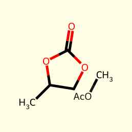 CC1COC(=O)O1.COC(C)=O